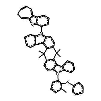 Cc1cccc(-n2c3ccccc3c3c4c(ccc32)C(C)(C)c2c(ccc3c2c2ccccc2n3-c2cccc3c5c(sc23)=CCC=CC=5)C4(C)C)c1Sc1ccccc1